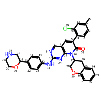 Cc1ccc(-c2cc3cnc(Nc4ccc(C5CNCCO5)cc4)nc3n(C3COc4ccccc4C3)c2=O)c(Cl)c1